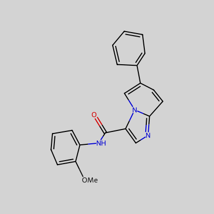 COc1ccccc1NC(=O)c1cnc2ccc(-c3ccccc3)cn12